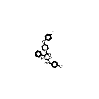 O=C(Nc1ccc(Cl)cc1)N[C@@H](C(=O)N1CCC(Oc2ccc(F)cc2)CC1)c1ccccc1